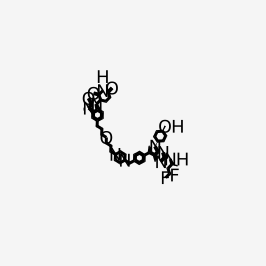 C[C@@H](CC(F)F)Nc1ncc2c(-c3ccc(CN4CCN(CCCOCCCc5ccc6c(c5)n(C)c(=O)n6C5CCC(=O)NC5=O)CC4)cc3)cn([C@H]3CC[C@H](O)CC3)c2n1